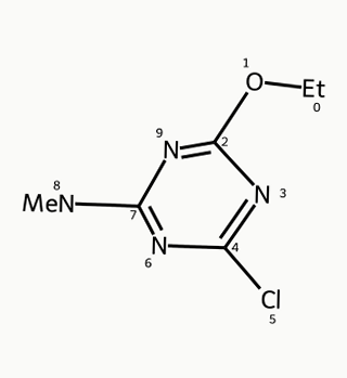 CCOc1nc(Cl)nc(NC)n1